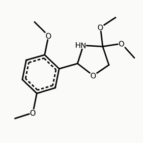 COc1ccc(OC)c(C2NC(OC)(OC)CO2)c1